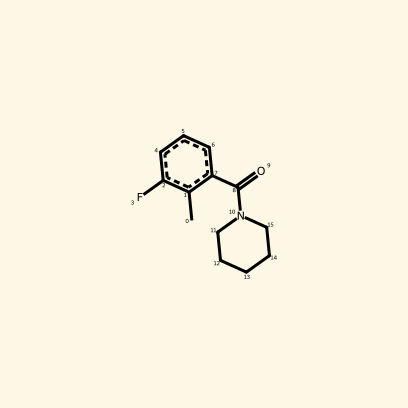 Cc1c(F)cccc1C(=O)N1CCCCC1